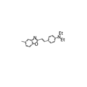 CCN(CC)c1ccc(C=Cc2nc3cc(C)ccc3o2)cc1